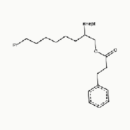 CCCCCCCC(CCCCCCC(C)C)COC(=O)CCc1ccccc1